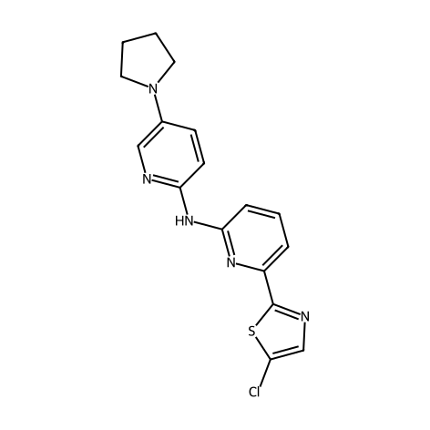 Clc1cnc(-c2cccc(Nc3ccc(N4CCCC4)cn3)n2)s1